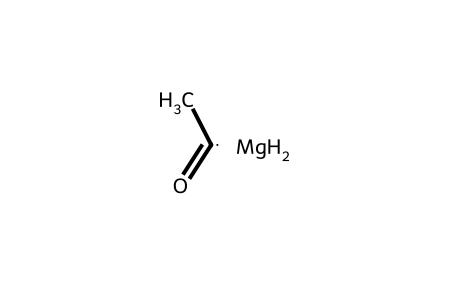 C[C]=O.[MgH2]